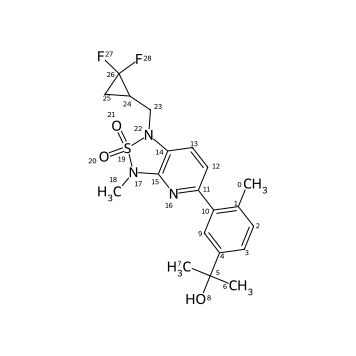 Cc1ccc(C(C)(C)O)cc1-c1ccc2c(n1)N(C)S(=O)(=O)N2CC1CC1(F)F